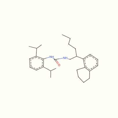 CCCCC(CNC(=O)Nc1c(C(C)C)cccc1C(C)C)c1cccc2c1CCCC2